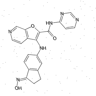 O=C(Nc1ccncn1)c1oc2cnccc2c1Nc1ccc2c(c1)CCC2=NO